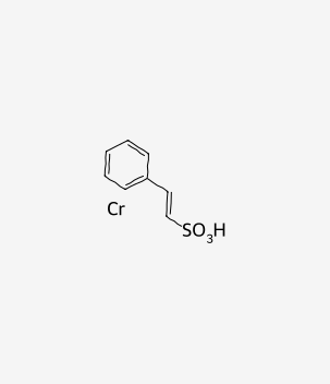 O=S(=O)(O)C=Cc1ccccc1.[Cr]